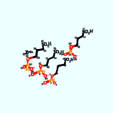 O=[PH]([O-])OCCCS(=O)(=O)O.O=[PH]([O-])OCCCS(=O)(=O)O.O=[PH]([O-])OCCCS(=O)(=O)O.O=[PH]([O-])OCCCS(=O)(=O)O.[Zr+4]